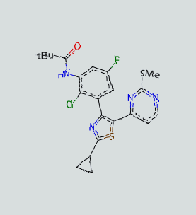 CSc1nccc(-c2sc(C3CC3)nc2-c2cc(F)cc(NC(=O)C(C)(C)C)c2Cl)n1